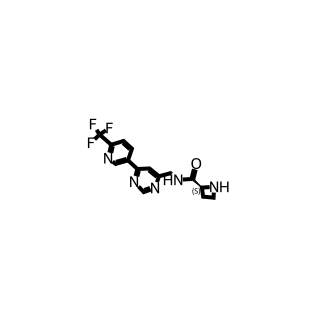 O=C(NCc1cc(-c2ccc(C(F)(F)F)nc2)ncn1)[C@@H]1CCN1